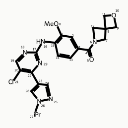 COc1cc(C(=O)N2CC3(COC3)C2)ccc1Nc1ncc(Cl)c(-c2cnn(C(C)C)c2)n1